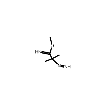 COC(=N)C(C)(C)N=N